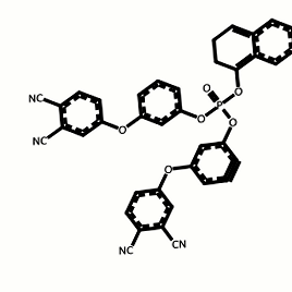 N#Cc1ccc(Oc2cc#cc(OP(=O)(OC3=c4ccccc4=CCC3)Oc3cccc(Oc4ccc(C#N)c(C#N)c4)c3)c2)cc1C#N